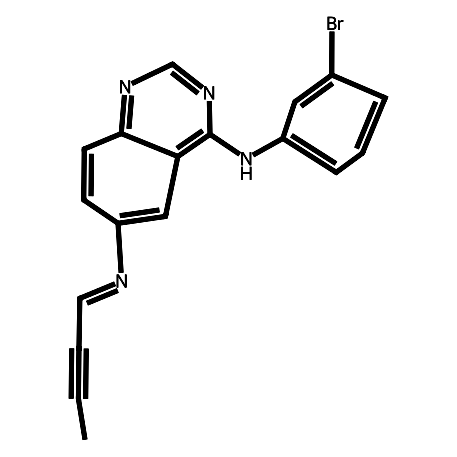 CC#C/C=N/c1ccc2ncnc(Nc3cccc(Br)c3)c2c1